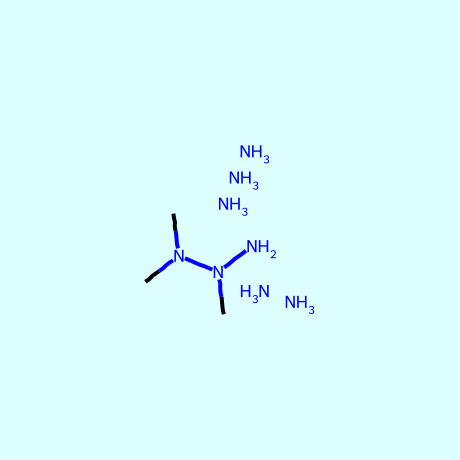 CN(C)N(C)N.N.N.N.N.N